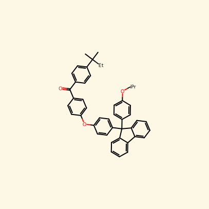 CCC(C)(C)c1ccc(C(=O)c2ccc(Oc3ccc(C4(c5ccc(OC(C)C)cc5)c5ccccc5-c5ccccc54)cc3)cc2)cc1